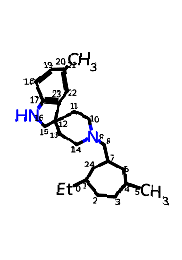 CCC1CCC(C)CC(CN2CCC3(CC2)CNc2ccc(C)cc23)C1